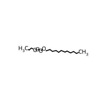 CCCCCCCCCCCCOOOOCCC